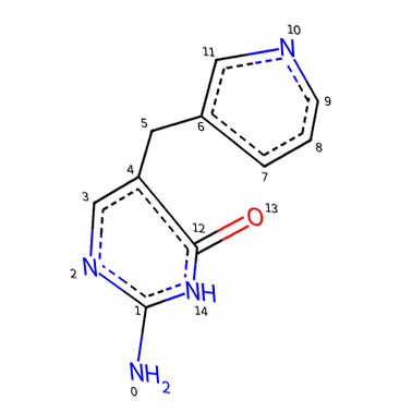 Nc1ncc(Cc2cccnc2)c(=O)[nH]1